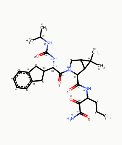 CCCC(NC(=O)[C@@H]1C2C(CN1C(=O)[C@@H](NC(=O)NC(C)C)C1Cc3ccccc3C1)C2(C)C)C(=O)C(N)=O